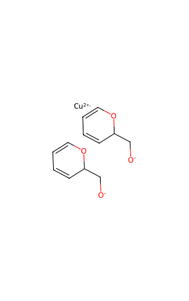 [Cu+2].[O-]CC1C=CC=CO1.[O-]CC1C=CC=CO1